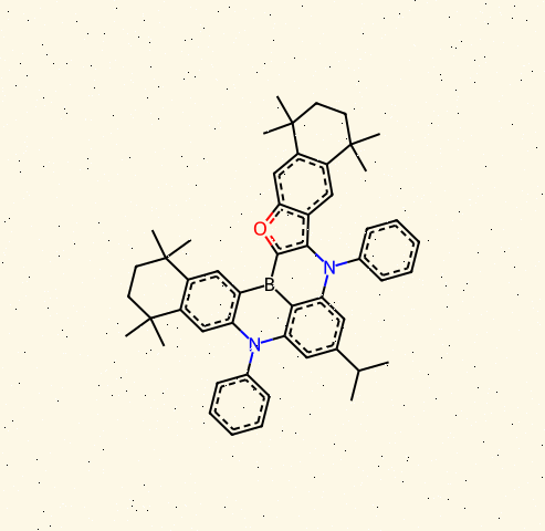 CC(C)c1cc2c3c(c1)N(c1ccccc1)c1c(oc4cc5c(cc14)C(C)(C)CCC5(C)C)B3c1cc3c(cc1N2c1ccccc1)C(C)(C)CCC3(C)C